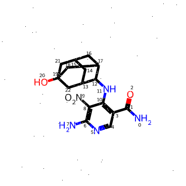 NC(=O)c1cnc(N)c([N+](=O)[O-])c1NC1C2CC3CC1CC(O)(C3)C2